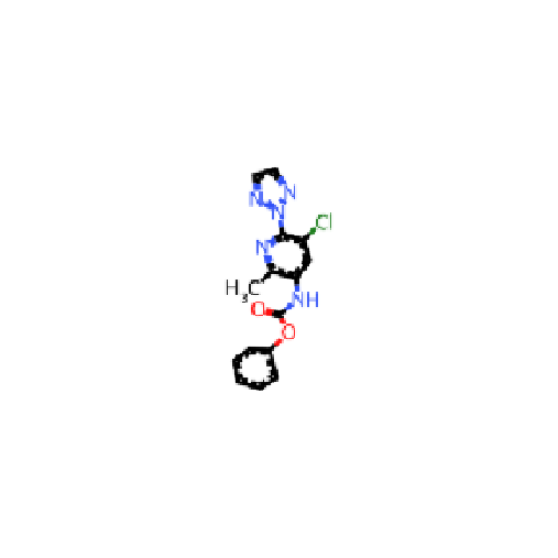 Cc1nc(-n2nccn2)c(Cl)cc1NC(=O)Oc1ccccc1